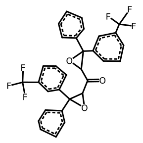 O=C(C1OC1(c1ccccc1)c1cccc(C(F)(F)F)c1)C1OC1(c1ccccc1)c1cccc(C(F)(F)F)c1